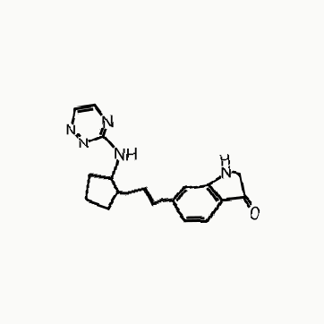 O=C1CNc2cc(CCC3CCCC3Nc3nccnn3)ccc21